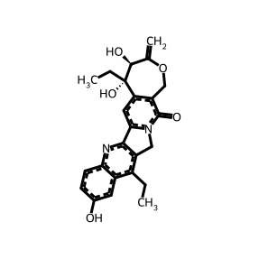 C=C1OCc2c(cc3n(c2=O)Cc2c-3nc3ccc(O)cc3c2CC)[C@@](O)(CC)[C@H]1O